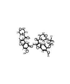 COc1cc2oc(C)c(C(=O)N3CCOCC3)c2cc1OCc1oc2cc(OC)c(O[Si](C)(C)C(C)(C)C)cc2c1C(=O)N1CCOCC1